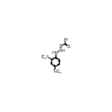 CC(=O)C(=O)ONNc1ccc([N+](=O)[O-])cc1[N+](=O)[O-]